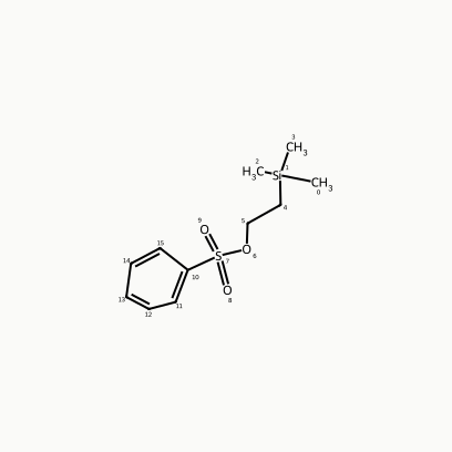 C[Si](C)(C)CCOS(=O)(=O)c1ccccc1